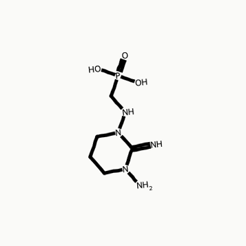 N=C1N(N)CCCN1NCP(=O)(O)O